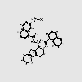 C[O-].O=C([O][Ti+]([O]C(=O)c1cccc2ccccc12)[CH]1CCCC2=C1CC1=C2CCCC1)c1cccc2ccccc12